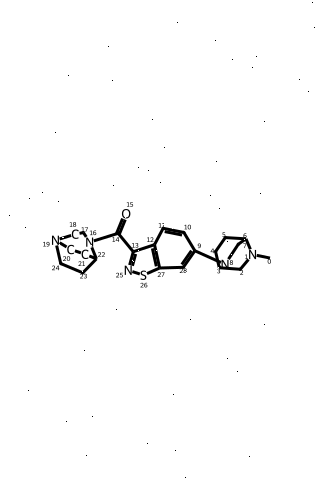 CN1CC2CCC1CN2c1ccc2c(C(=O)N3CCN4CCC3CC4)nsc2c1